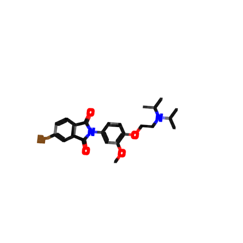 COc1cc(N2C(=O)c3ccc(Br)cc3C2=O)ccc1OCCN(C(C)C)C(C)C